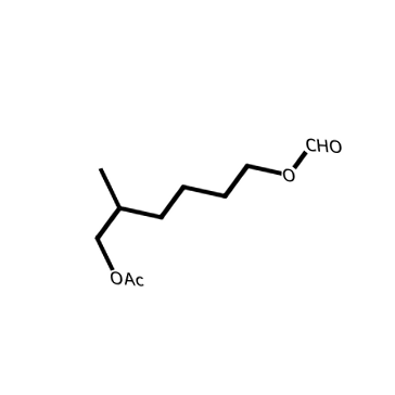 CC(=O)OCC(C)CCCCOC=O